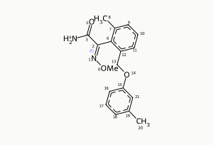 CO/N=C(/C(N)=O)c1c(C)cccc1COc1cccc(C)c1